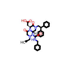 C#CCN1CC(=O)N2[C@@H](CC(=O)O)C(=O)N(CC(c3ccccc3)c3ccccc3)C[C@@H]2N1C(=C=O)NCc1ccccc1